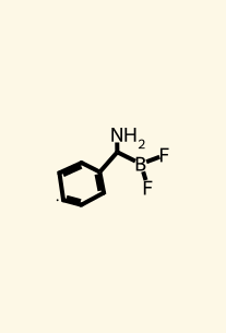 NC(B(F)F)c1cc[c]cc1